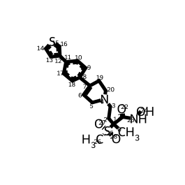 CC(CCN1CC=C(c2ccc(-c3ccsc3)cc2)CC1)(C(=O)NO)S(C)(=O)=O